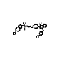 O=C(NCCCCN1CCCC(n2nc(Cc3ccc(Cl)cc3)c3ccccc3c2=O)CC1)c1ccc2c(c1)CCN(C1CCC1)CC2